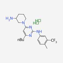 CCCCc1cc(N2CCCC(N)C2)nc(Nc2ccc(C)c(C(F)(F)F)c2)n1.Cl.Cl